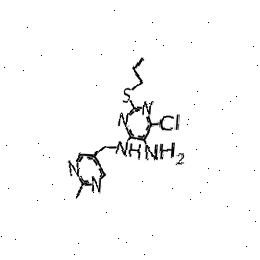 CCCSc1nc(Cl)c(N)c(NCc2cnc(C)nc2)n1